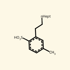 CCCCCCCCCc1cc(C)ccc1S(=O)(=O)O